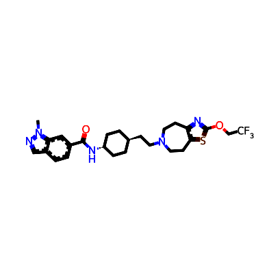 Cn1ncc2ccc(C(=O)N[C@H]3CC[C@H](CCN4CCc5nc(OCC(F)(F)F)sc5CC4)CC3)cc21